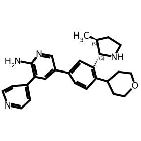 C[C@H]1CCN[C@@H]1c1cc(-c2cnc(N)c(-c3ccncc3)c2)ccc1C1CCOCC1